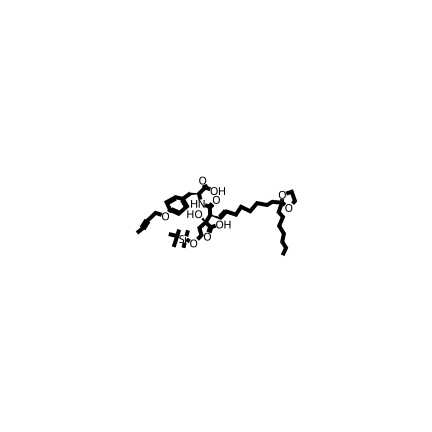 CC#CCOc1ccc(C[C@H](NC(=O)[C@@H](C=CCCCCCCC2(CCCCCCC)OCCO2)[C@@](O)(CCO[Si](C)(C)C(C)(C)C)C(=O)O)C(=O)O)cc1